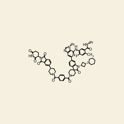 Cc1cc(F)c(Nc2nc(-c3ccc4c(c3)N([C@H]3C[C@@H](N5CCCCC5)C3)C(=O)C43CCN(C(=O)c4ccc(C(=O)N5CCC(c6ccc7c(c6)C(=O)N(C6CCC(=O)NC6=O)C7=O)CC5)cc4)CC3)cc3ncn(C(C)C)c23)cc1C(=O)NC(C)C